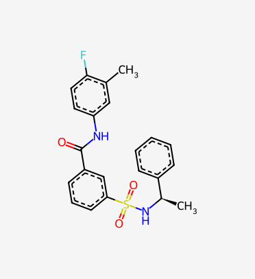 Cc1cc(NC(=O)c2cccc(S(=O)(=O)N[C@H](C)c3ccccc3)c2)ccc1F